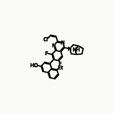 CCc1cccc2cc(O)cc(-c3c(F)cc4c(N5CC6CCC(C5)N6)nc(/C=C\Cl)nc4c3F)c12